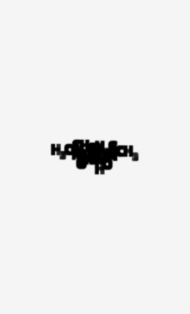 CC(C)=NOC(=O)Nc1ccccc1NC(=O)ON=C(C)C